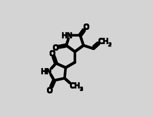 C=CC1C(=O)NC(=O)C1CC1C(=O)NC(=O)C1C